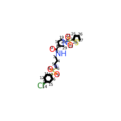 O=C(NCC/C=C/S(=O)(=O)c1ccc(Cl)cc1)[C@H]1CCN(S(=O)(=O)c2cccs2)C1